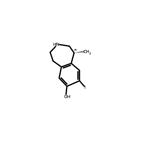 C[C@H]1CNCCc2cc(O)c(I)cc21